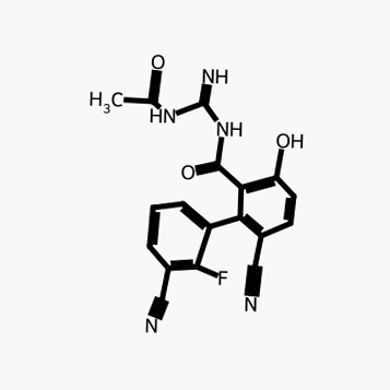 CC(=O)NC(=N)NC(=O)c1c(O)ccc(C#N)c1-c1cccc(C#N)c1F